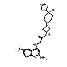 Nc1cc(NCC(=O)NC2CN([C@H]3CC[C@@](O)(C4CN=CS4)CC3)C2)c2cc(C(F)(F)F)ccc2n1